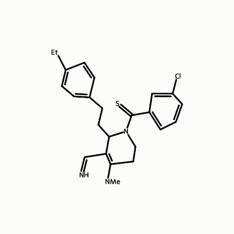 CCc1ccc(CCC2C(C=N)=C(NC)CCN2C(=S)c2cccc(Cl)c2)cc1